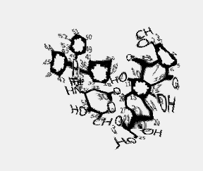 COc1cccc2c1C(=O)c1c(O)c3c(c(O)c1C2=O)C[C@@](O)(C(=O)CO)C[C@@H]3OC1CC([NH][Fe][PH](c2ccccc2)(c2ccccc2)c2ccccc2)C(O)C(C)O1